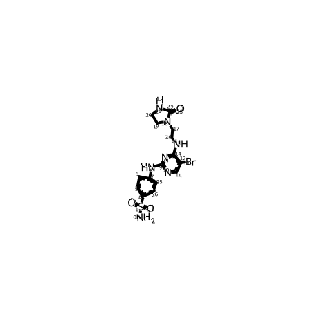 NS(=O)(=O)c1ccc(Nc2ncc(Br)c(NCCN3CCNC3=O)n2)cc1